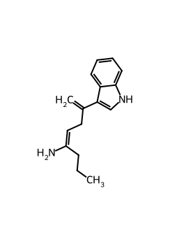 C=C(C/C=C(/N)CCC)c1c[nH]c2ccccc12